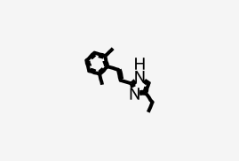 CCc1c[nH]c(C=Cc2c(C)cccc2C)n1